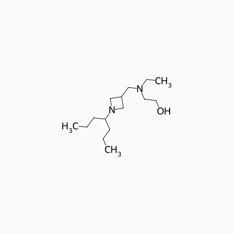 CCCC(CCC)N1CC(CN(CC)CCO)C1